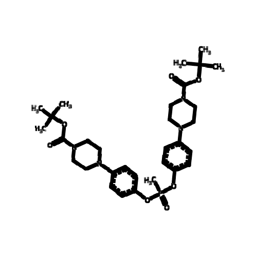 CC(C)(C)OC(=O)N1CCN(c2ccc(OP(C)(=O)Oc3ccc(N4CCN(C(=O)OC(C)(C)C)CC4)cc3)cc2)CC1